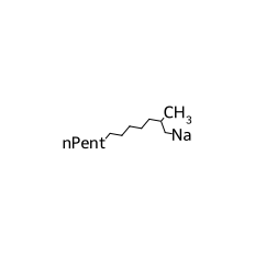 CCCCCCCCCCC(C)[CH2][Na]